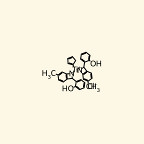 Cc1ccc2c(c1)[N]([Ti+]([C]1=CC=CC1)[N]1c3cc(C)ccc3C1c1ccccc1O)C2c1ccccc1O.[Cl-]